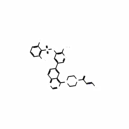 COc1ncc(-c2ccc3ncnc(N4CCN(C(=O)/C=C/C(C)=O)CC4)c3c2)cc1NS(=O)(=O)c1c(F)cccc1C#N